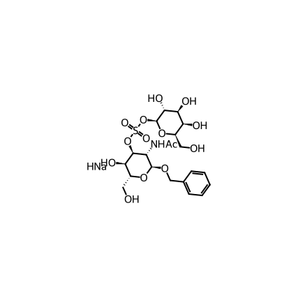 CC(=O)N[C@@H]1[C@@H](OCc2ccccc2)O[C@H](CO)[C@@H](O)[C@H]1OS(=O)(=O)O[C@@H]1O[C@H](CO)[C@H](O)[C@H](O)[C@H]1O.[NaH]